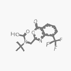 CC(C)(C)N(Cc1nc2c(C(F)(F)F)cccc2c(=O)o1)C(=O)O